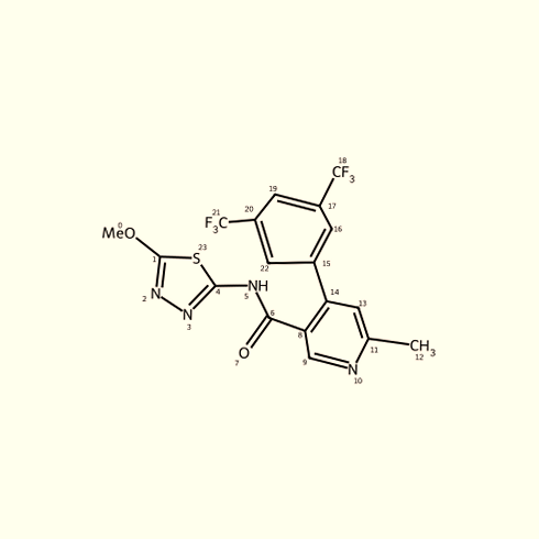 COc1nnc(NC(=O)c2cnc(C)cc2-c2cc(C(F)(F)F)cc(C(F)(F)F)c2)s1